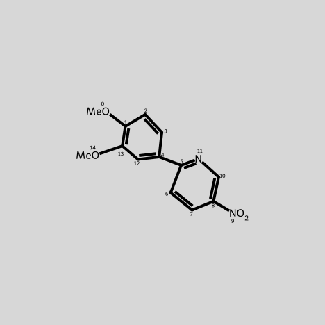 COc1ccc(-c2ccc([N+](=O)[O-])cn2)cc1OC